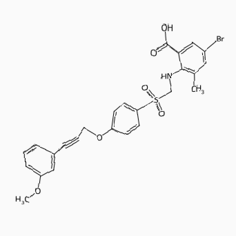 COc1cccc(C#CCOc2ccc(S(=O)(=O)CNc3c(C)cc(Br)cc3C(=O)O)cc2)c1